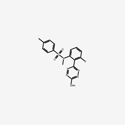 CSc1nnc(-c2c(F)cccc2N(C)S(=O)(=O)c2ccc(C)cc2)nn1